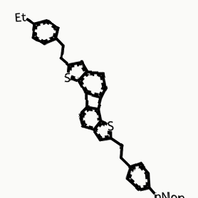 CCCCCCCCCc1ccc(CCc2cc3ccc4c(c3s2)-c2ccc3cc(CCc5ccc(CC)cc5)sc3c2-4)cc1